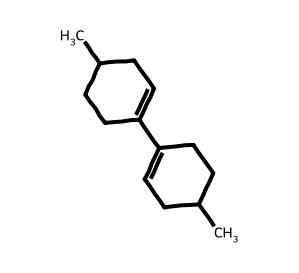 CC1CC=C(C2=CCC(C)CC2)CC1